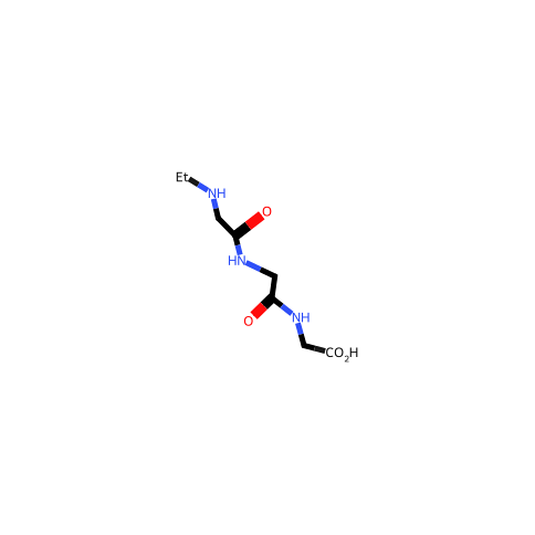 CCNCC(=O)NCC(=O)NCC(=O)O